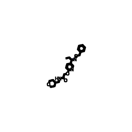 CC/C(=N\OCc1ccccc1)c1ccc(OCC(=O)NCC2CCOCC2)nc1